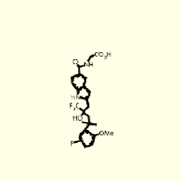 COc1ccc(F)cc1C(C)(C)CC(O)(Cc1cc2cc(C(=O)NCC(=O)O)ccc2[nH]1)C(F)(F)F